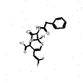 O=C(Cc1ccccc1)NC1C(=O)N2C(C(=O)O)C(C=C(F)F)=CS[C@@H]12